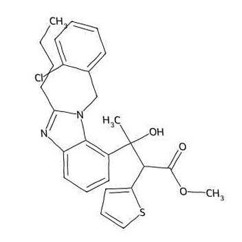 CCCCc1nc2cccc(C(C)(O)C(C(=O)OC)c3cccs3)c2n1Cc1ccccc1Cl